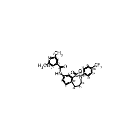 Cc1cc(C(=O)Nc2ccc3c(c2)S(=O)(=O)N(c2ccc(C(F)(F)F)cc2)CCC3)cc(C)n1